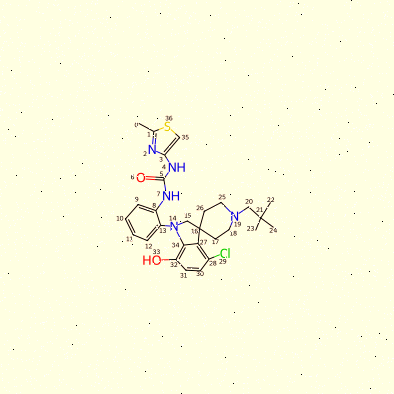 Cc1nc(NC(=O)Nc2ccccc2N2CC3(CCN(CC(C)(C)C)CC3)c3c(Cl)ccc(O)c32)cs1